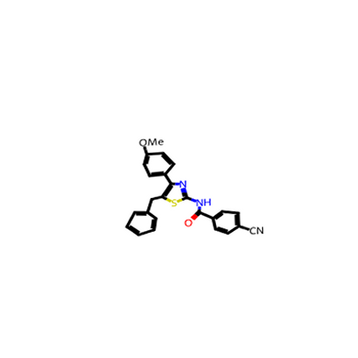 COc1ccc(-c2nc(NC(=O)c3ccc(C#N)cc3)sc2Cc2ccccc2)cc1